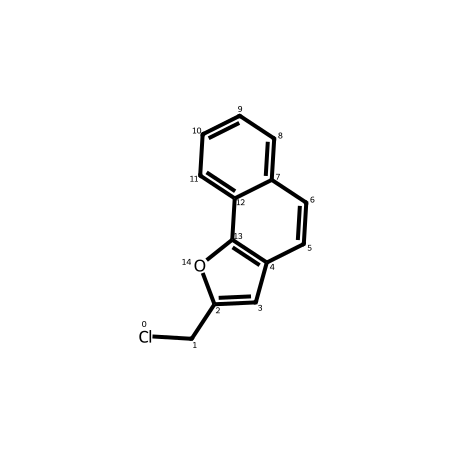 ClCc1cc2ccc3ccccc3c2o1